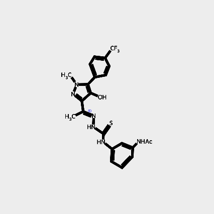 CC(=O)Nc1cccc(NC(=S)N/N=C(\C)c2nn(C)c(-c3ccc(C(F)(F)F)cc3)c2O)c1